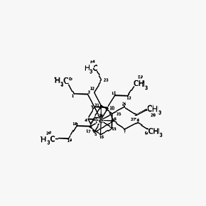 CCC[C]12[CH]3[CH]4[C]5(CCC)[C]1(CCC)[Fe]34251678[CH]2[CH]1[C]6(CCC)[C]7(CCC)[C]28CCC